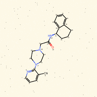 N#Cc1cccnc1N1CCN(CC(=O)N[C@@H]2CCCc3ccccc32)CC1